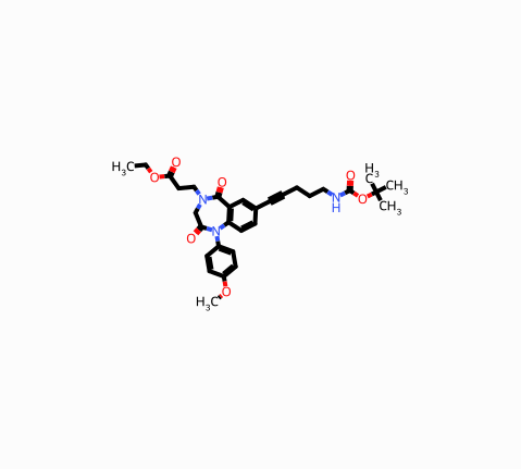 CCOC(=O)CCN1CC(=O)N(c2ccc(OC)cc2)c2ccc(C#CCCCNC(=O)OC(C)(C)C)cc2C1=O